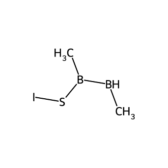 CBB(C)SI